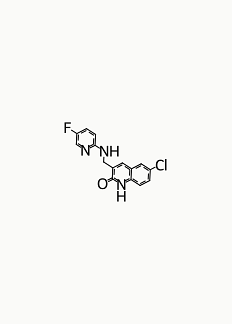 O=c1[nH]c2ccc(Cl)cc2cc1CNc1ccc(F)cn1